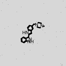 CN1CCN(Cc2ccc3[nH]c(-c4n[nH]c5ccccc45)cc3c2)CC1